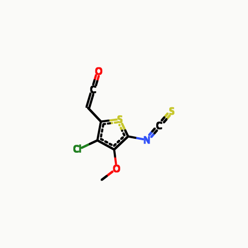 COc1c(N=C=S)sc(C=C=O)c1Cl